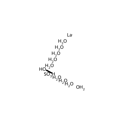 O.O.O.O.O.O.O.O.O.O=S(=O)(O)O.[La]